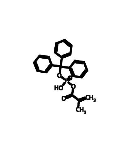 C=C(C)C(=O)OP(=O)(O)OC(c1ccccc1)(c1ccccc1)c1ccccc1